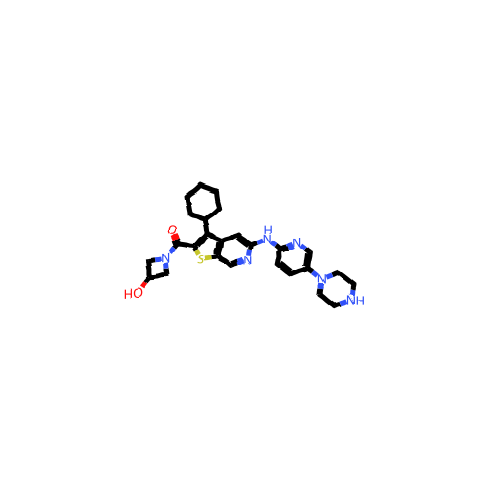 O=C(c1sc2cnc(Nc3ccc(N4CCNCC4)cn3)cc2c1C1CCCCC1)N1CC(O)C1